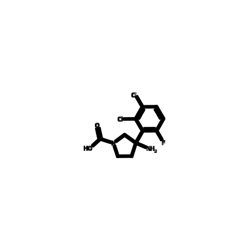 NC1(c2c(F)ccc(Cl)c2Cl)CCN(C(=O)O)C1